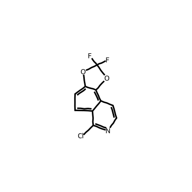 FC1(F)Oc2ccc3c(Cl)nccc3c2O1